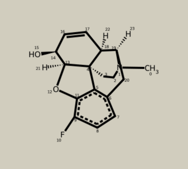 CN1CC[C@]23c4c5ccc(F)c4O[C@H]2[C@@H](O)C=C[C@H]3[C@H]1C5